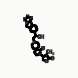 CC1=C(N2CCC3(CCN(C[C@H](O)c4ccc5c(c4)Cn4nnnc4-5)CC3)C2=O)COC1=O